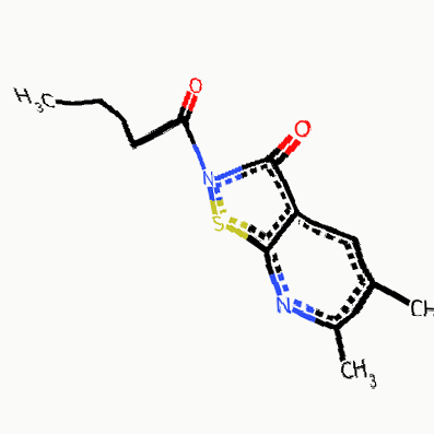 CCCC(=O)n1sc2nc(C)c(C)cc2c1=O